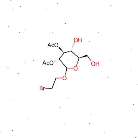 CC(=O)O[C@H]1[C@H](O)[C@@H](CO)OC(OCCBr)[C@@H]1OC(C)=O